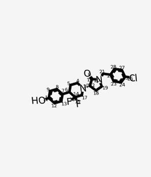 O=C1[C@@H](N2CCC(c3ccc(O)cc3)C(F)(F)C2)CCN1Cc1ccc(Cl)cc1